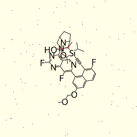 COCOc1cc(-c2ncc3c(N4CC5CCC(C4)N5C(=O)O)nc(F)nc3c2F)c2c(C#C[Si](C(C)C)(C(C)C)C(C)C)c(F)ccc2c1